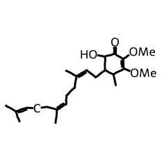 COC1=C(OC)C(C)C(CC=C(C)CCC=C(C)CCC=C(C)C)C(O)C1=O